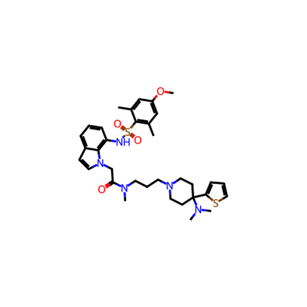 COc1cc(C)c(S(=O)(=O)Nc2cccc3ccn(CC(=O)N(C)CCCN4CCC(c5cccs5)(N(C)C)CC4)c23)c(C)c1